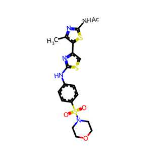 CC(=O)Nc1nc(C)c(-c2csc(Nc3ccc(S(=O)(=O)N4CCOCC4)cc3)n2)s1